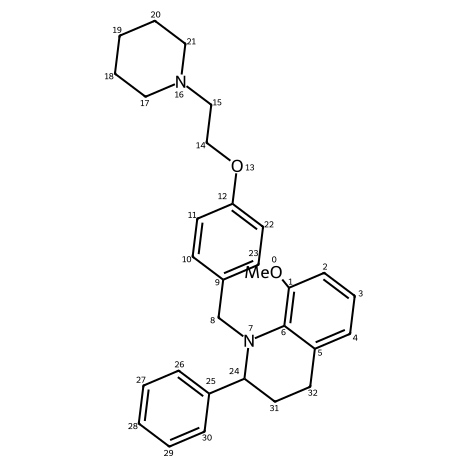 COc1cccc2c1N(Cc1ccc(OCCN3CCCCC3)cc1)C(c1ccccc1)CC2